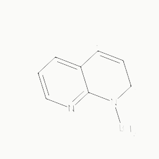 BN1CC=Cc2cccnc21